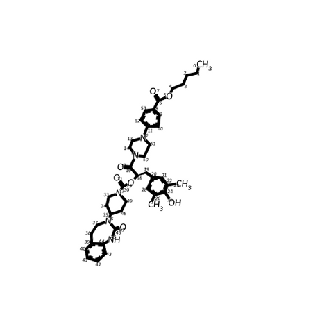 CCCCCOC(=O)c1ccc(N2CCN(C(=O)[C@@H](Cc3cc(C)c(O)c(C)c3)OC(=O)N3CCC(N4CCc5ccccc5NC4=O)CC3)CC2)cc1